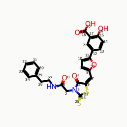 O=C(CN1C(=O)C(=Cc2ccc(-c3ccc(O)c(C(=O)O)c3)o2)SC1=S)NCCc1ccccc1